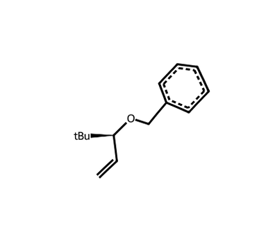 [CH2]C(C)(C)[C@H](C=C)OCc1ccccc1